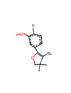 CC(=O)c1ccc(C2=C(C(C)(C)C)C(C)(C)CO2)cc1O